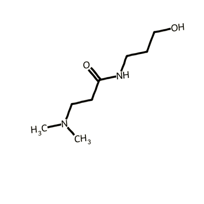 CN(C)CCC(=O)NCCCO